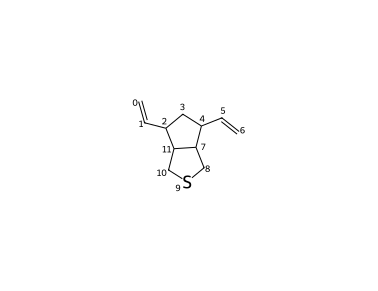 C=CC1CC(C=C)C2CSCC12